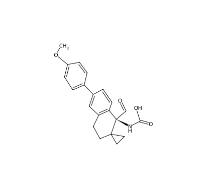 COc1ccc(-c2ccc3c(c2)CCC2(CC2)[C@]3(C=O)NC(=O)O)cc1